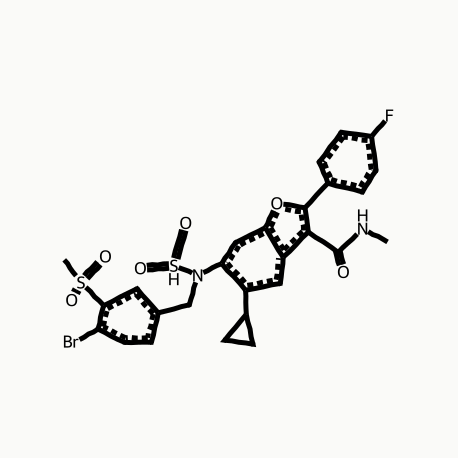 CNC(=O)c1c(-c2ccc(F)cc2)oc2cc(N(Cc3ccc(Br)c(S(C)(=O)=O)c3)[SH](=O)=O)c(C3CC3)cc12